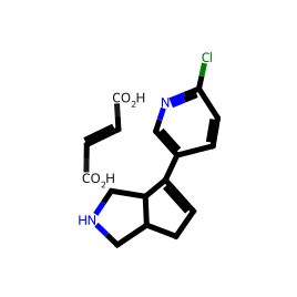 Clc1ccc(C2=CCC3CNCC23)cn1.O=C(O)C=CC(=O)O